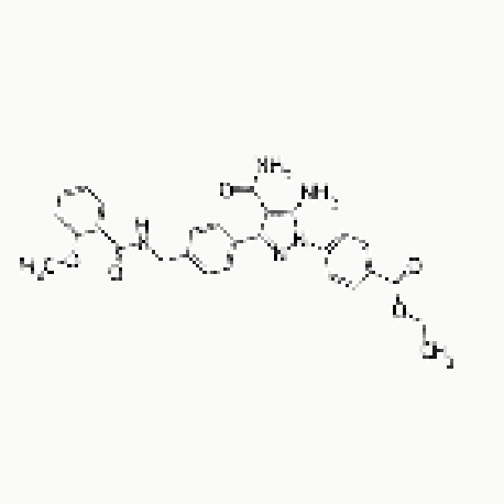 CCOC(=O)c1ccc(-n2nc(-c3ccc(CNC(=O)c4ccccc4OC)cc3)c(C(N)=O)c2N)cc1